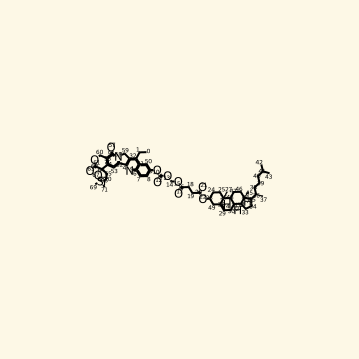 CCc1c2c(nc3ccc(OC(=O)OCOC(=O)CCC(=O)OC4CC[C@@]5(C)C(=CC[C@H]6[C@@H]7CC[C@H]([C@H](C)CCCC(C)C)[C@@]7(C)CC[C@@H]65)C4)cc13)-c1cc3c(c(=O)n1C2)COC(=O)C3(CC)O[Si](C)(C)C